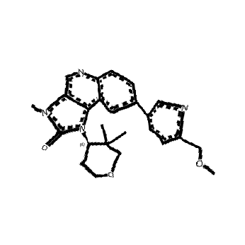 COCc1ccc(-c2ccc3ncc4c(c3c2)n([C@@H]2CCOCC2(C)C)c(=O)n4C)cn1